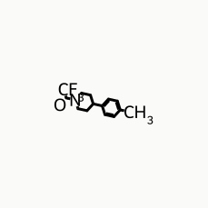 Cc1ccc(C2CCN(C(=O)C(F)(F)F)CC2)cc1